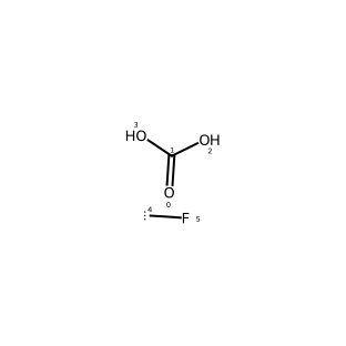 O=C(O)O.[C]F